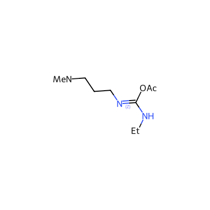 CCN/C(=N/CCCNC)OC(C)=O